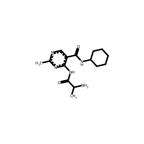 Cc1ncc(C(=O)NC2CCCCC2)c(NC(=O)C(C)N)n1